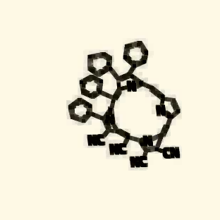 N#CC1=C(C#N)C2=NC1=CC1=NC(=CC3=NC(=C(c4ccccc4)C4=NC(=C2C#N)C(C#N)=C4c2ccccc2)C(c2ccccc2)=C3c2ccccc2)C=C1